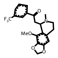 COc1c2c(cc3c1C(CC(=O)c1cccc(C(F)(F)F)c1)N(C)CC3)OCO2